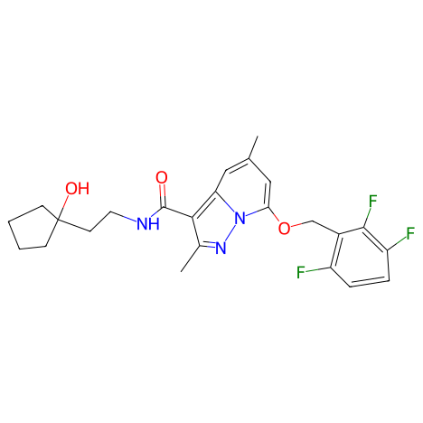 Cc1cc(OCc2c(F)ccc(F)c2F)n2nc(C)c(C(=O)NCCC3(O)CCCC3)c2c1